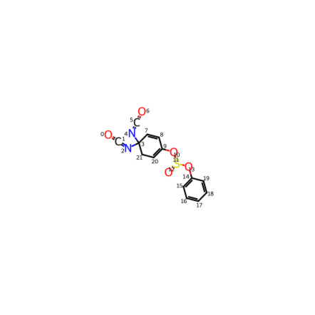 O=C=NC1(N=C=O)C=CC(OS(=O)Oc2ccccc2)=CC1